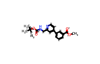 COC(=O)c1cccc(-c2ccnc(CNC(=O)OC(C)(C)C)c2)c1